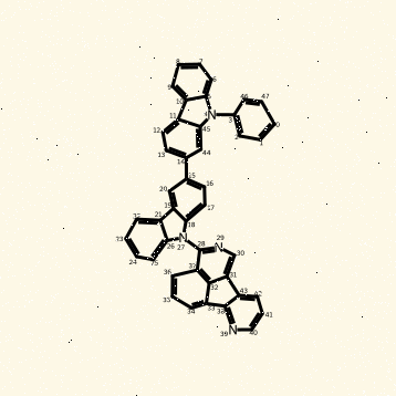 c1ccc(-n2c3ccccc3c3ccc(-c4ccc5c(c4)c4ccccc4n5-c4ncc5c6c(cccc46)-c4ncccc4-5)cc32)cc1